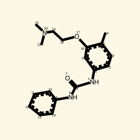 Cc1ccc(NC(=O)Nc2ccccc2)cc1OCCN(C)C